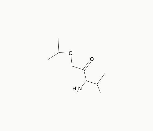 CC(C)OCC(=O)C(N)C(C)C